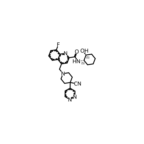 N#CC1(c2ccnnc2)CCN(Cc2cc(C(=O)N[C@H]3CCCC[C@@H]3O)nc3c(F)cccc23)CC1